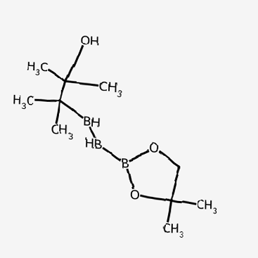 CC1(C)COB(BBC(C)(C)C(C)(C)O)O1